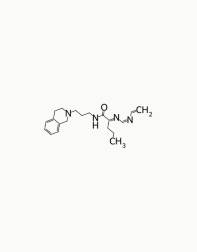 C=C/N=C\N=C(/CCC)C(=O)NCCCN1CCc2ccccc2C1